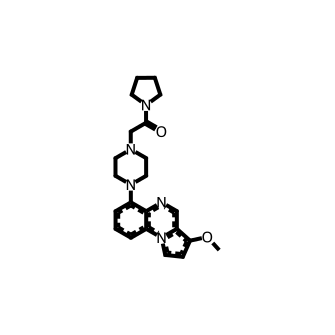 COc1ccn2c1cnc1c(N3CCN(CC(=O)N4CCCC4)CC3)cccc12